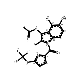 CC(=O)Oc1c(C)n(C(=O)c2ccc(SC(F)(F)F)s2)c2ccc(O)c(Cl)c12